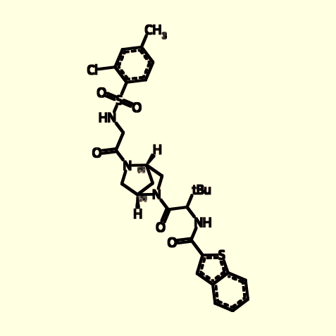 Cc1ccc(S(=O)(=O)NCC(=O)N2C[C@@H]3C[C@H]2CN3C(=O)C(NC(=O)c2cc3ccccc3s2)C(C)(C)C)c(Cl)c1